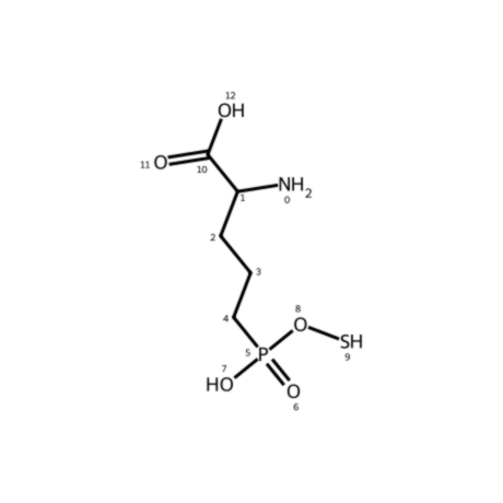 NC(CCCP(=O)(O)OS)C(=O)O